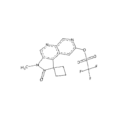 CN1C(=O)C2(CCC2)c2c1cnc1cnc(OS(=O)(=O)C(F)(F)F)cc21